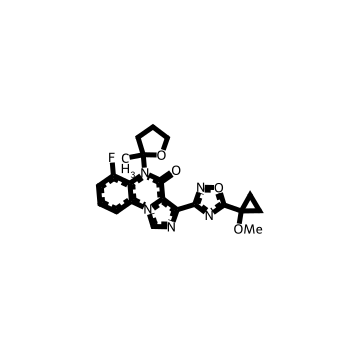 COC1(c2nc(-c3ncn4c3c(=O)n(C3(C)CCCO3)c3c(F)cccc34)no2)CC1